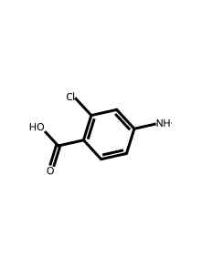 [NH]c1ccc(C(=O)O)c(Cl)c1